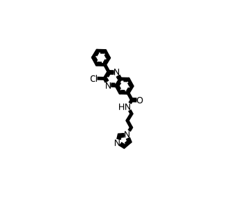 O=C(NCCCn1ccnc1)c1ccc2nc(-c3ccccc3)c(Cl)nc2c1